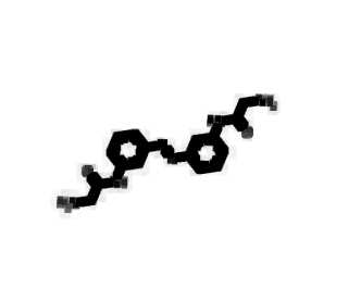 NCC(=O)Nc1cccc(N=Nc2cccc(NC(=O)CN)c2)c1